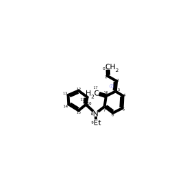 C=C/C=c1/cccc(N(CC)c2ccccc2)c1=C